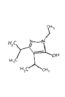 CCn1nc(C(C)C)c(C(C)C)c1O